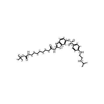 CC(C)NCCNc1ccc(S(=O)(=O)Oc2ccc3nc(NC(=O)CCCCCCCNC(=O)OC(C)(C)C)sc3c2)cc1